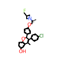 CC1=C(c2ccc(Cl)cc2)C(c2ccc(OC[C@H](C)N3CC(CF)C3)cc2)Oc2ccc(O)cc21